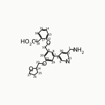 NCc1cncc(-c2cc(COc3ccccc3CC(=O)O)cc(OCC3CCCO3)c2)c1